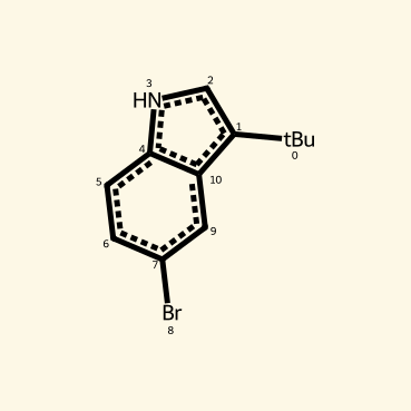 CC(C)(C)c1c[nH]c2ccc(Br)cc12